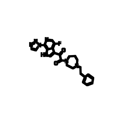 O=C(C(=O)N1CCCN(CCc2ccccc2)CC1)c1c[nH]c2c(-n3ccnn3)ncc(F)c12